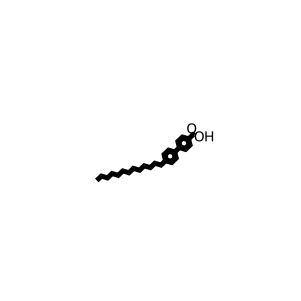 CCCCCCCCCCCCCc1ccc(-c2ccc(C(=O)O)cc2)cc1